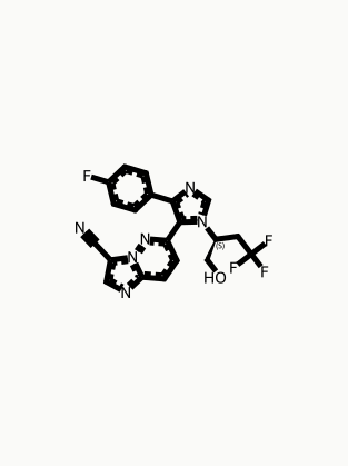 N#Cc1cnc2ccc(-c3c(-c4ccc(F)cc4)ncn3[C@H](CO)CC(F)(F)F)nn12